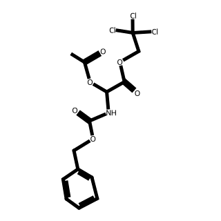 CC(=O)OC(NC(=O)OCc1ccccc1)C(=O)OCC(Cl)(Cl)Cl